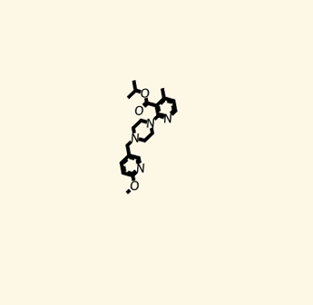 COc1ccc(CN2CCN(c3nccc(C)c3C(=O)OC(C)C)CC2)cn1